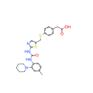 Cc1ccc(NC(=O)Nc2ncc(CSc3ccc(CC(=O)O)cc3)s2)c(N2CCCCC2)c1